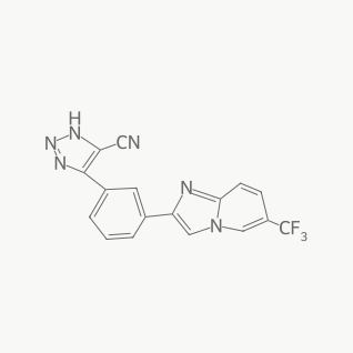 N#Cc1[nH]nnc1-c1cccc(-c2cn3cc(C(F)(F)F)ccc3n2)c1